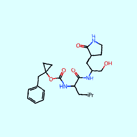 CC(C)CC(NC(=O)OC1(Cc2ccccc2)CC1)C(=O)NC(CO)CC1CCNC1=O